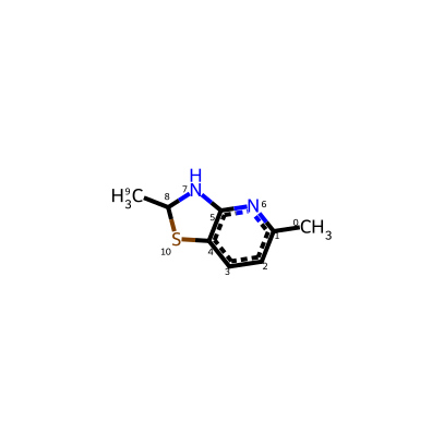 Cc1ccc2c(n1)NC(C)S2